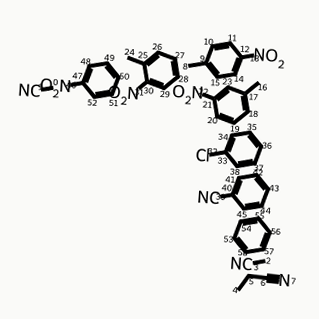 CC#N.CC#N.CCC#N.Cc1ccc([N+](=O)[O-])cc1.Cc1cccc([N+](=O)[O-])c1.Cc1ccccc1[N+](=O)[O-].Clc1ccccc1.N#Cc1ccccc1.O=[N+]([O-])c1ccccc1.c1ccccc1